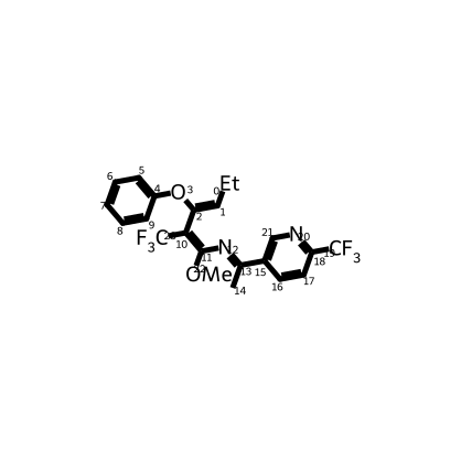 CC/C=C(Oc1ccccc1)/C(=C(\N=C(/C)c1ccc(C(F)(F)F)nc1)OC)C(F)(F)F